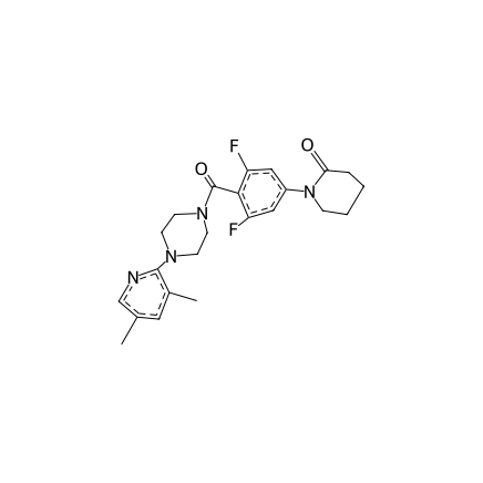 Cc1cnc(N2CCN(C(=O)c3c(F)cc(N4CCCCC4=O)cc3F)CC2)c(C)c1